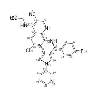 CC(C)(C)CNc1c(C#N)cnc2c(N[C@@H](c3ccc(F)cc3)c3cn(-c4cccnc4)nn3)cc(Cl)cc12